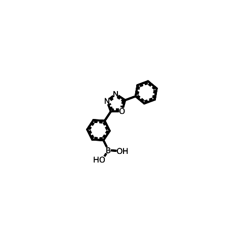 OB(O)c1cccc(-c2nnc(-c3ccccc3)o2)c1